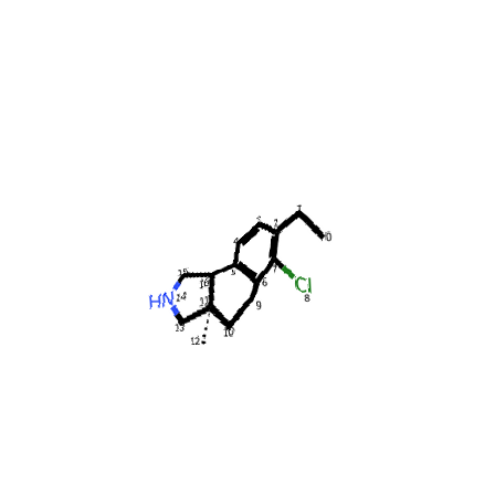 CCc1ccc2c(c1Cl)CC[C@@]1(C)CNCC21